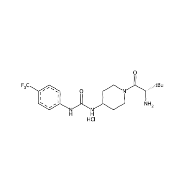 CC(C)(C)[C@H](N)C(=O)N1CCC(NC(=O)Nc2ccc(C(F)(F)F)cc2)CC1.Cl